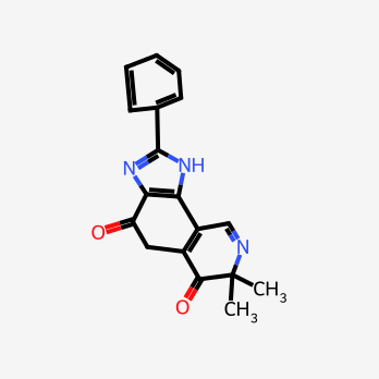 CC1(C)N=CC2=C(CC(=O)c3nc(-c4ccccc4)[nH]c32)C1=O